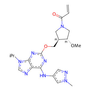 C=CC(=O)N1C[C@H](COc2nc(Nc3cnn(C)c3)c3ncn(C(C)C)c3n2)[C@@H](OC)C1